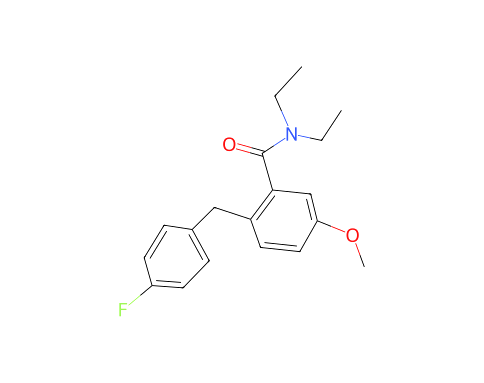 CCN(CC)C(=O)c1cc(OC)ccc1Cc1ccc(F)cc1